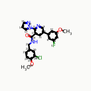 COc1cc(F)cc(-c2cnc(-n3cccn3)c(C(=O)NCc3ccc(OC)c(Cl)c3)c2)c1